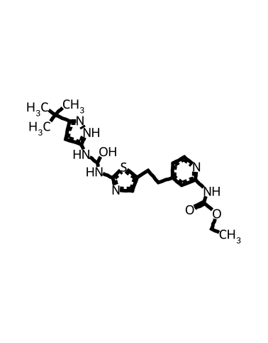 CCOC(=O)Nc1cc(CCc2cnc(NC(O)Nc3cc(C(C)(C)C)n[nH]3)s2)ccn1